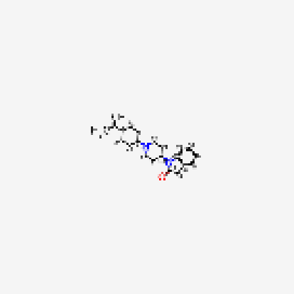 CC(C)C1CCC(N2CCC(N3C(=O)Cc4ccccc43)CC2)CC1